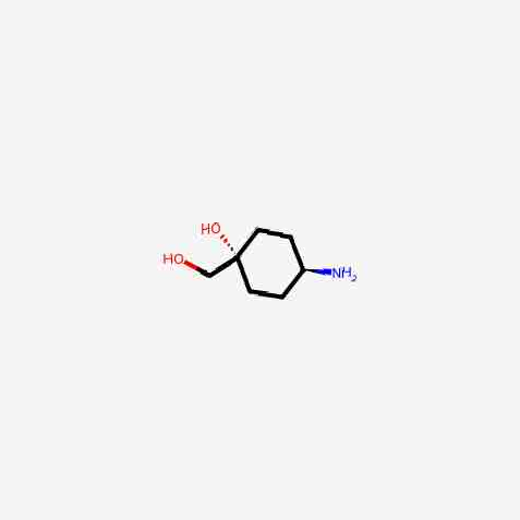 N[C@H]1CC[C@@](O)(CO)CC1